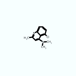 Cc1cc(N(C)C)c2c(Cl)cccc2n1